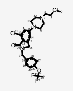 COCCN1CCN(c2cc(Cl)c3c(c2)CN(Cc2ccc(OC(F)(F)F)cc2)C3=O)CC1